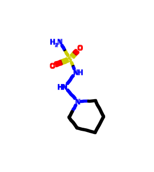 NS(=O)(=O)NNN1CCCCC1